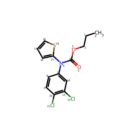 CCCOC(=O)N(c1ccc(Cl)c(Cl)c1)c1cccs1